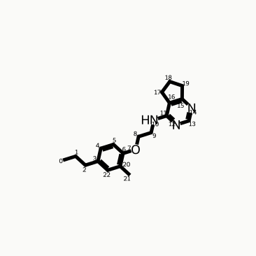 CCCc1ccc(OCCNc2ncnc3c2CCC3)c(C)c1